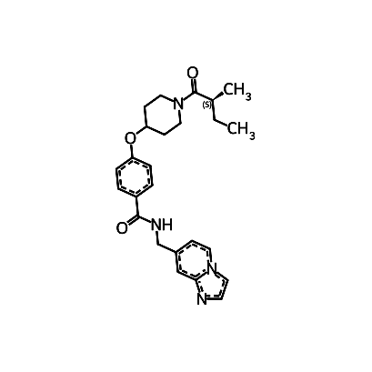 CC[C@H](C)C(=O)N1CCC(Oc2ccc(C(=O)NCc3ccn4ccnc4c3)cc2)CC1